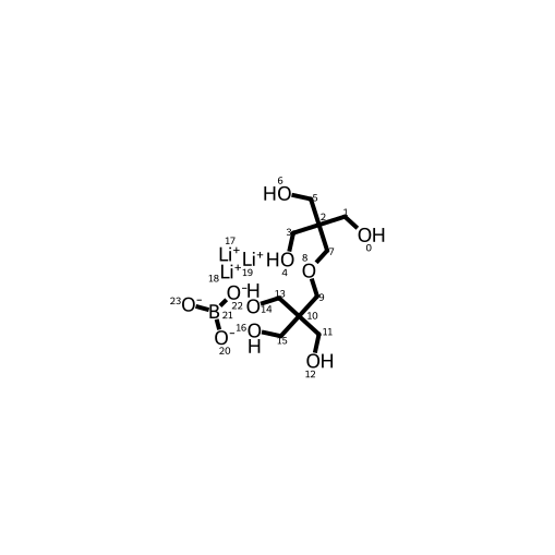 OCC(CO)(CO)COCC(CO)(CO)CO.[Li+].[Li+].[Li+].[O-]B([O-])[O-]